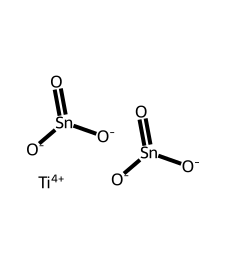 [O]=[Sn]([O-])[O-].[O]=[Sn]([O-])[O-].[Ti+4]